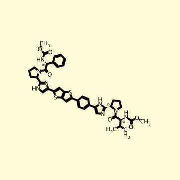 COC(=O)N[C@H](C(=O)N1CCC[C@H]1c1ncc(-c2ccc(-c3cc4sc(-c5c[nH]c(C6CCCN6C(=O)[C@H](NC(=O)OC)c6ccccc6)n5)cc4s3)cc2)[nH]1)C(C)C